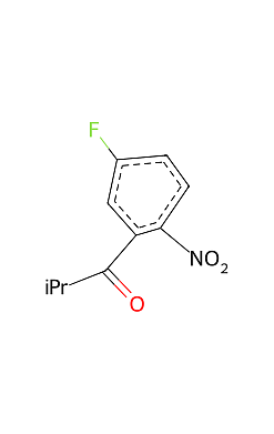 CC(C)C(=O)c1cc(F)ccc1[N+](=O)[O-]